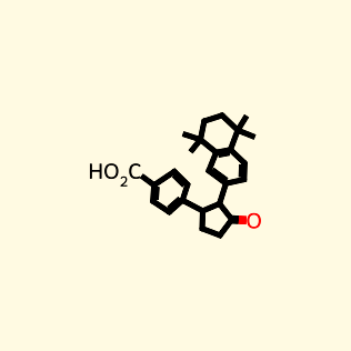 CC1(C)CCC(C)(C)c2cc(C3C(=O)CCC3c3ccc(C(=O)O)cc3)ccc21